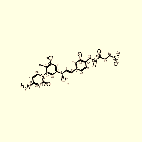 Cc1c(Cl)cc(C(/C=C/c2ccc(CNC(=O)CC[S+](C)[O-])c(Cl)c2)C(F)(F)F)cc1-n1ccc(N)nc1=O